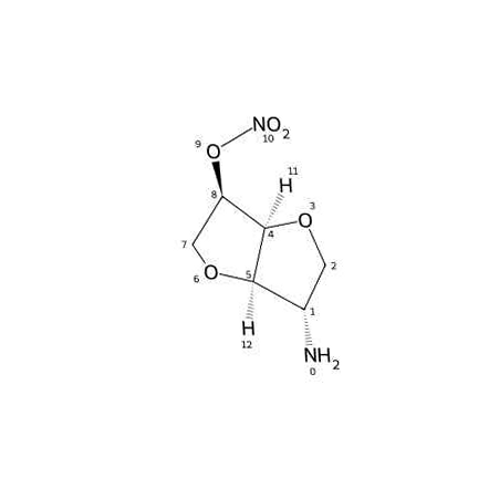 N[C@H]1CO[C@H]2[C@@H]1OC[C@H]2O[N+](=O)[O-]